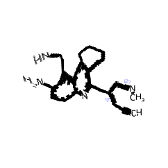 C#C/C=C(\C=N/C)c1nc2ccc(N)c(C=N)c2c2c1CCCC2